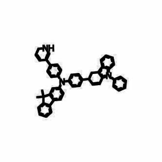 CC1(C)c2ccccc2-c2ccc(N(c3ccc(C4=CNCC=C4)cc3)c3ccc(C4C=Cc5c(c6ccccc6n5-c5ccccc5)C4)cc3)cc21